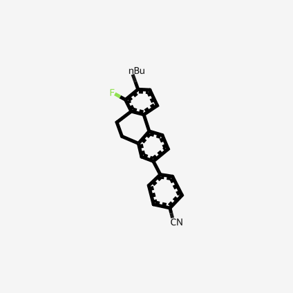 CCCCc1ccc2c(c1F)CCc1cc(-c3ccc(C#N)cc3)ccc1-2